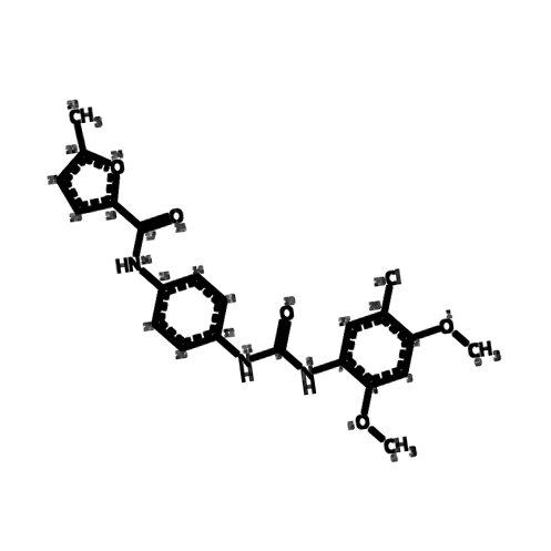 COc1cc(OC)c(NC(=O)Nc2ccc(NC(=O)c3ccc(C)o3)cc2)cc1Cl